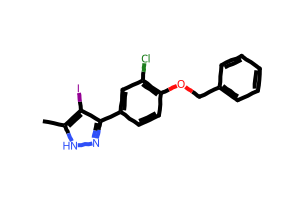 Cc1[nH]nc(-c2ccc(OCc3ccccc3)c(Cl)c2)c1I